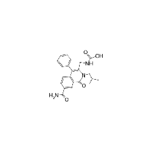 CC(C)Cn1c(CNC(=O)O)c(-c2ccccc2)c2ccc(C(N)=O)cc2c1=O